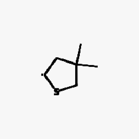 CC1(C)C[CH]SC1